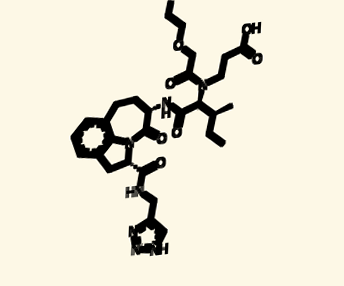 CC[C@H](C)[C@@H](C(=O)N[C@H]1CCc2cccc3c2N(C1=O)[C@H](C(=O)NCc1c[nH]nn1)C3)N(CCC(=O)O)C(=O)COCCF